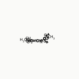 C[C@H]1CCc2c(ccc(-c3cnn(C4CCN(C5CC6(CCN(C(=O)OC(C)(C)C)CC6)C5)CC4)c3)c2OC2CCC2)N1C(=O)C1CC1